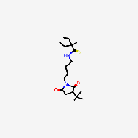 CCC(C)(CC)C(=S)NCCCCN1C(=O)CC(C(C)(C)C)C1=O